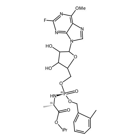 COc1nc(F)nc2c1ncn2C1OC(CO[P@@](=O)(N[C@@H](C)C(=O)OC(C)C)OCc2ccccc2C)C(O)C1O